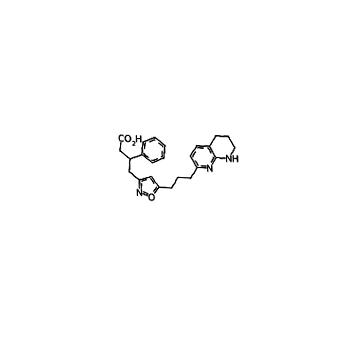 O=C(O)CC(Cc1cc(CCCc2ccc3c(n2)NCCC3)on1)c1ccccc1